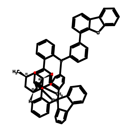 C[C@H]1C[C@@H]2CC(C)(C)C[C@H](C1)C21c2ccccc2C2(c3ccccc3-c3ccccc32)c2ccc(N(c3cccc(-c4cccc5c4oc4ccccc45)c3)c3ccccc3-c3ccccc3)cc21